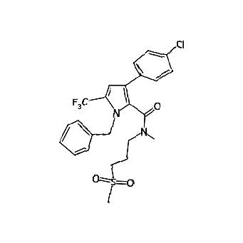 CN(CCCS(C)(=O)=O)C(=O)c1c(-c2ccc(Cl)cc2)cc(C(F)(F)F)n1Cc1ccccc1